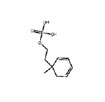 CC1(CCOP(=O)(O)O)C=CC=CC1